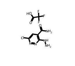 NNc1nnc(Cl)cc1C(N)=O.O=C(O)C(F)(F)F